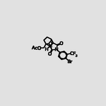 CC(=O)OCC12CCC(O1)C1C(=O)N(c3ccc(Br)c(C(F)(F)F)c3)C(=O)[C@@H]12